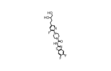 O=C(Nc1nc2cc(F)c(F)cc2s1)N1CCN(c2ncc(CCC(O)CO)cc2F)CC1